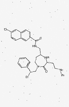 CCC(CN1CCC(CNC(=O)c2ccc3cc(Cl)ccc3c2)NC(CCNC(C)C)C1=O)c1ccccc1